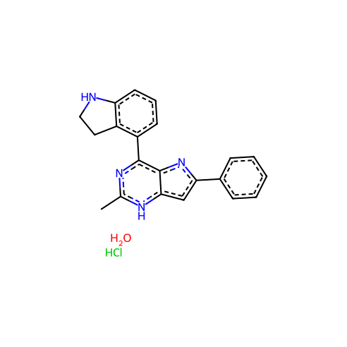 Cc1nc(-c2cccc3c2CCN3)c2nc(-c3ccccc3)cc-2[nH]1.Cl.O